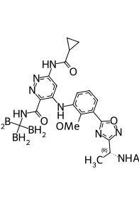 BC(B)(B)NC(=O)c1nnc(NC(=O)C2CC2)cc1Nc1cccc(-c2nc([C@@H](C)NC(C)=O)no2)c1OC